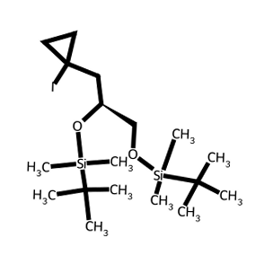 CC(C)(C)[Si](C)(C)OC[C@H](CC1(I)CC1)O[Si](C)(C)C(C)(C)C